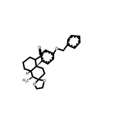 C[C@H]1[C@@H]2CCCC(C=O)[C@]2(c2ccc(OCc3ccccc3)cc2)CCC12OCCO2